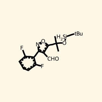 CC(C)(C)[SiH2]OC(C)(C)c1onc(-c2c(F)cccc2F)c1C=O